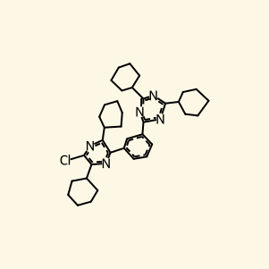 Clc1nc(C2CCCCC2)c(-c2cccc(-c3nc(C4CCCCC4)nc(C4CCCCC4)n3)c2)nc1C1CCCCC1